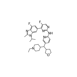 CCN1CCC(C(c2ccc(Nc3ncc(F)c(-c4cc(F)c5nc(C)n(C(C)C)c5c4)n3)nc2)C2CCOC2)CC1